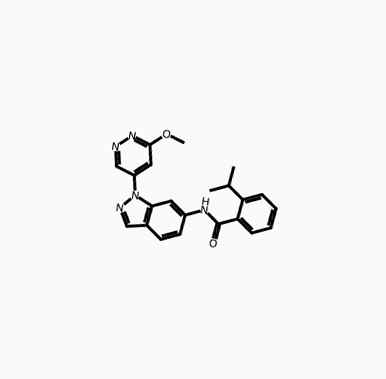 COc1cc(-n2ncc3ccc(NC(=O)c4ccccc4C(C)C)cc32)cnn1